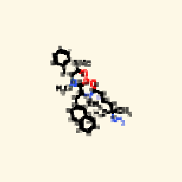 CNC(=O)[C@@H](Cc1ccccc1)N(C)C(=O)C(Cc1ccc2ccccc2c1)N(C)C(=O)/C=C/CC(C)(C)N